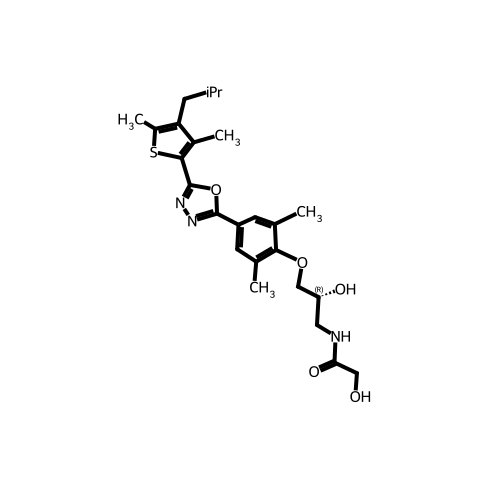 Cc1cc(-c2nnc(-c3sc(C)c(CC(C)C)c3C)o2)cc(C)c1OC[C@H](O)CNC(=O)CO